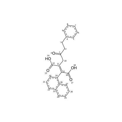 O=C(CCc1ccccc1)C/C(C(=O)O)=C(\C(=O)O)c1cccc2ccccc12